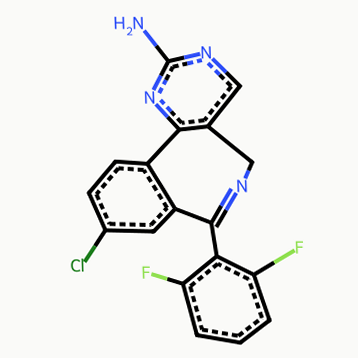 Nc1ncc2c(n1)-c1ccc(Cl)cc1C(c1c(F)cccc1F)=NC2